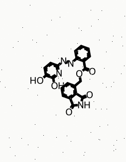 O=C(OCc1cccc2c1C(=O)NC2=O)c1ccccc1N=Nc1ccc(O)c(O)n1